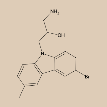 Cc1ccc2c(c1)c1cc(Br)ccc1n2CC(O)CN